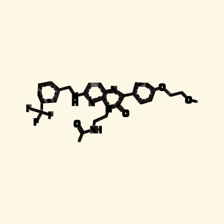 COCCOc1ccc(-c2nc3ccc(NCc4cccc(C(F)(F)F)c4)nc3n(CCNC(C)=O)c2=O)cc1